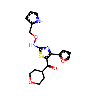 O=C(c1sc(NOCc2ccc[nH]2)nc1-c1ccco1)C1CCOCC1